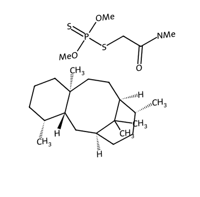 CNC(=O)CSP(=S)(OC)OC.C[C@@H]1CCC[C@@]2(C)CC[C@H]3[C@H](C)CC[C@@H](C[C@H]12)C3(C)C